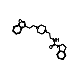 O=C(NCCN1CCN(CCc2coc3ccccc23)CC1)N1CCc2ccccc21